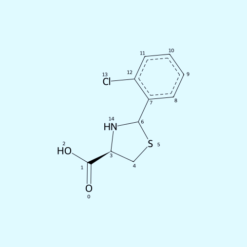 O=C(O)[C@@H]1CSC(c2ccccc2Cl)N1